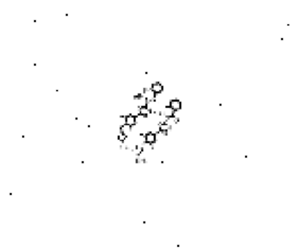 CCCCN(C(=O)c1ccccc1F)c1nnc(-c2cc(C)c(CN3CC(C(=O)O)C3)c(C)c2)s1.CCCCN(C(=O)c1ccccc1F)c1nnc(-c2cc(C)c(OCCN)c(C)c2)s1